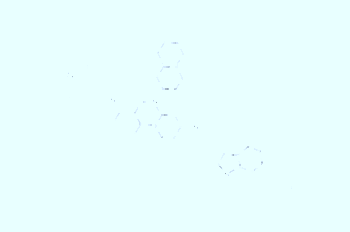 COc1ccc2c(CCNc3c(F)cc4c(=O)c(C(=O)NCCC5CCCN5C)cn5c4c3Oc3cc4ccccc4cc3-5)c[nH]c2c1